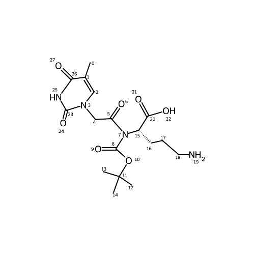 Cc1cn(CC(=O)N(C(=O)OC(C)(C)C)[C@@H](CCCN)C(=O)O)c(=O)[nH]c1=O